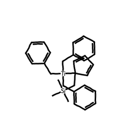 C[Si](C)(C)C[C]1([Ti]([CH2]c2ccccc2)([CH2]c2ccccc2)[CH2]c2ccccc2)C=CC=C1